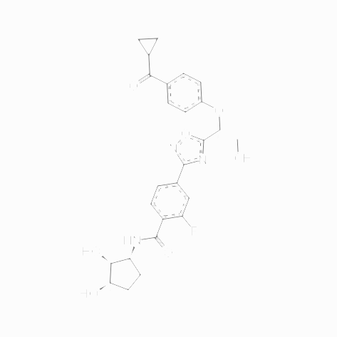 CC[C@@H](Oc1ccc(C(=O)C2CC2)cc1)c1nc(-c2ccc(C(=O)N[C@H]3CC[C@@H](O)[C@H]3O)c(F)c2)no1